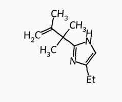 C=C(C)C(C)(C)c1nc(CC)c[nH]1